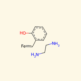 NCCN.Oc1ccccc1[CH]=[Fe]